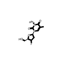 CCCn1c(=O)c(C)cn([C@H]2CC(F)[C@@H](CO)O2)c1=O